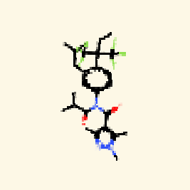 CCC(c1ccc(N(C(=O)c2c(C)nn(C)c2C)C(=O)C(C)C)cc1CC(C)C)(C(F)(F)F)C(F)(F)F